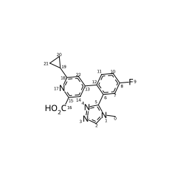 Cn1cnnc1-c1cc(F)ccc1-c1cc(C(=O)O)nc(C2CC2)c1